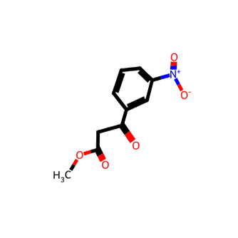 COC(=O)CC(=O)c1cccc([N+](=O)[O-])c1